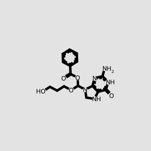 Nc1nc2c(c(=O)[nH]1)NCN2C(OCCCO)OC(=O)c1ccccc1